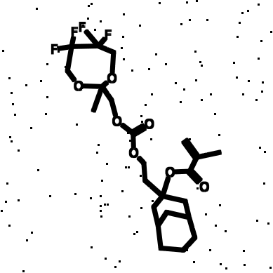 C=C(C)C(=O)OC1(CCOC(=O)OCC2(C)OCC(F)(F)C(F)(F)CO2)CC2CCCC(C2)C1